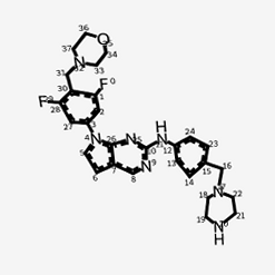 Fc1cc(-n2ccc3cnc(Nc4ccc(CN5CCNCC5)cc4)nc32)cc(F)c1CN1CCOCC1